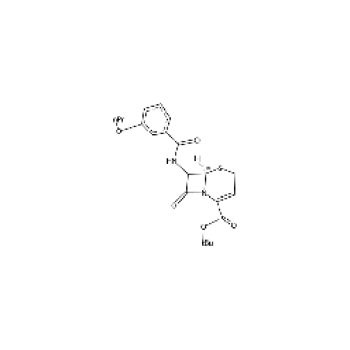 CCCOc1cccc(C(=O)NC2C(=O)N3C(C(=O)OC(C)(C)C)=CCS[C@H]23)c1